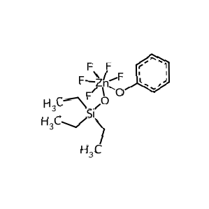 CC[Si](CC)(CC)[O][Zn]([F])([F])([F])([F])([F])[O]c1ccccc1